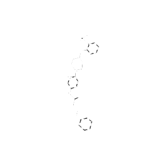 O=C(COCc1ccccc1)Nc1ccc(N2CCC(Oc3ccccc3C(F)(F)F)CC2)nc1